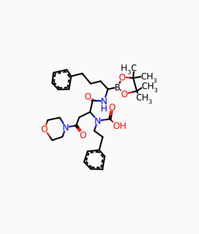 CC1(C)OB(C(CCCc2ccccc2)NC(=O)C(CC(=O)N2CCOCC2)N(CCc2ccccc2)C(=O)O)OC1(C)C